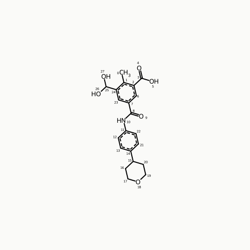 Cc1c(C(=O)O)cc(C(=O)Nc2ccc(C3CCOCC3)cc2)cc1C(O)O